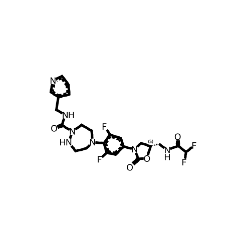 O=C(NC[C@H]1CN(c2cc(F)c(N3CCNN(C(=O)NCc4cccnc4)CC3)c(F)c2)C(=O)O1)C(F)F